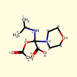 CC(=O)OC(NC(C)C)(C([O])=O)N1CCOCC1